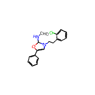 O=CNC1OC(c2ccccc2)=CN1CCc1ccccc1Cl